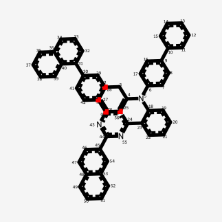 C1=CCCC(N(c2ccc(-c3ccccc3)cc2)c2ccccc2-c2nc(-c3ccc(-c4cccc5ccccc45)cc3)nc(-c3ccc4ccccc4c3)n2)=C1